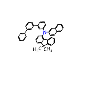 CC1(C)c2ccccc2-c2c(N(c3cccc(-c4cccc(-c5ccccc5)c4)c3)c3ccc4ccccc4c3)cccc21